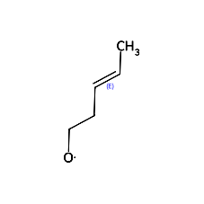 C/C=C/CC[O]